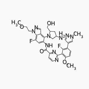 COCCn1ncc2c(N3CC(N)CC3CO)c(NC(=O)c3ccnc(-c4c(OC)ccc(-c5cnn(C)c5)c4F)n3)cc(F)c21